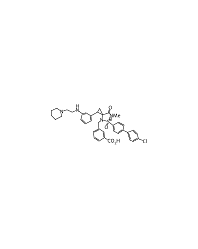 CNC(=O)C1(N(Cc2cccc(C(=O)O)c2)S(=O)(=O)c2ccc(-c3ccc(Cl)cc3)cc2)CC1c1cccc(NCCN2CCCCC2)c1